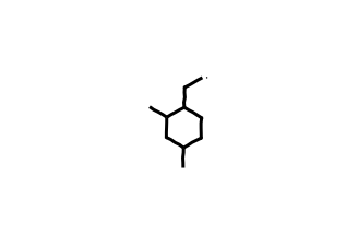 [CH2]CC1CCC(C)CC1C